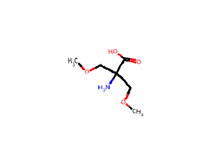 COCC(N)(COC)C(=O)O